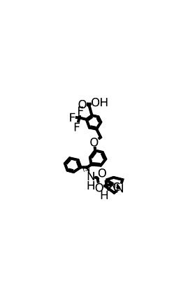 O=C(N[C@@H](c1ccccc1)c1cccc(OCc2ccc(C(=O)O)c(C(F)(F)F)c2)c1)O[C@H]1CN2CCC1CC2